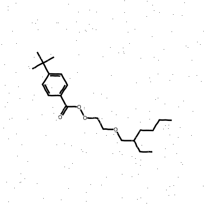 CCCCC(CC)COC[CH]OOC(=O)c1ccc(C(C)(C)C)cc1